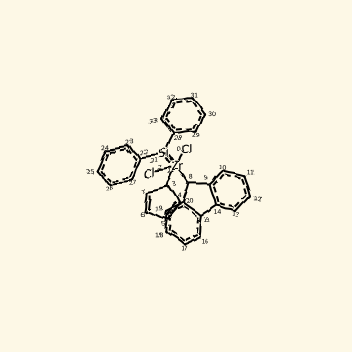 [Cl][Zr]([Cl])([CH]1C=CC=C1)([CH]1c2ccccc2-c2ccccc21)=[Si](c1ccccc1)c1ccccc1